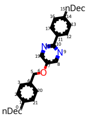 CCCCCCCCCCc1ccc(COc2cnc(-c3ccc(CCCCCCCCCC)cc3)nc2)cc1